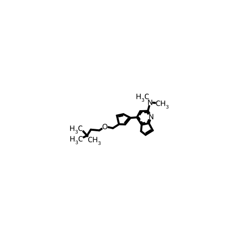 CN(C)c1cc(C2=CC(COCCC(C)(C)C)C=C2)c2c(n1)C=CC2